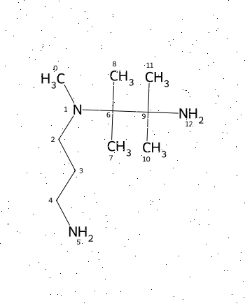 CN(CCCN)C(C)(C)C(C)(C)N